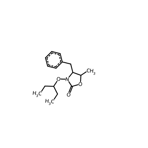 CCC(CC)ON1C(=O)OC(C)C1Cc1ccccc1